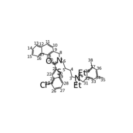 CC[N+](CC)(CCCCN(Cc1ccc2ccccc2c1)C(=O)c1cc2c(Cl)cccc2s1)Cc1cc(C)cc(C)c1